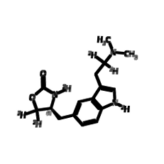 [2H]N1C(=O)OC([2H])([2H])[C@@H]1Cc1ccc2c(c1)c(CC([2H])([2H])N(C)C)cn2[2H]